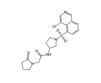 O=C(CN1CCCC1=O)NC1CCN(S(=O)(=O)c2cccc3cncc(Cl)c23)C1